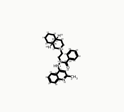 Cc1cc(NN(CCN2CC[C@H]3CCCC[C@H]3C2)C(=O)c2ccccc2)c2ccccc2n1